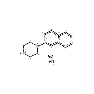 Cl.Cl.c1ccc2cc(N3CCNCC3)ncc2c1